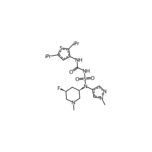 CC(C)c1cc(NC(=O)NS(=O)(=O)N(c2cnn(C)c2)[C@@H]2C[C@H](F)CN(C)C2)c(C(C)C)s1